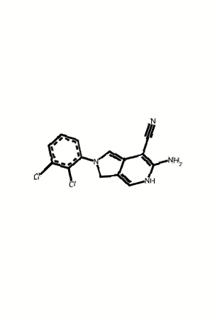 N#CC1=C(N)NC=C2CN(c3cccc(Cl)c3Cl)C=C21